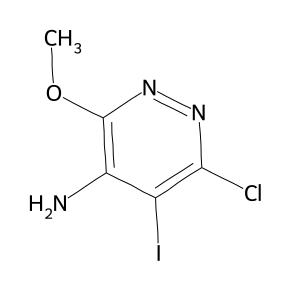 COc1nnc(Cl)c(I)c1N